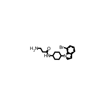 NCCC(=O)NC1CCC(n2ccc3cccc(Br)c32)CC1